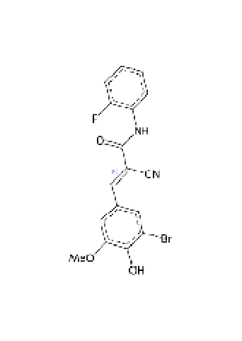 COc1cc(/C=C(\C#N)C(=O)Nc2ccccc2F)cc(Br)c1O